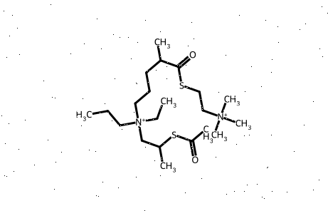 CCC[N+](CC)(CCCC(C)C(=O)SCC[N+](C)(C)C)CC(C)SC(C)=O